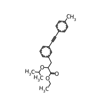 CCOC(=O)C(Cc1cccc(C#Cc2ccc(C)cc2)c1)OC(C)C